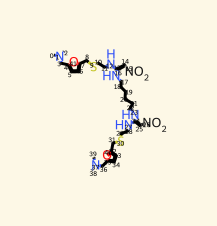 CN(C)Cc1ccc(CSCCN/C(=C/[N+](=O)[O-])NCCCCCCN/C(=C\[N+](=O)[O-])NCCSCc2ccc(CN(C)C)o2)o1